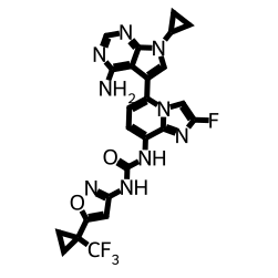 Nc1ncnc2c1c(-c1ccc(NC(=O)Nc3cc(C4(C(F)(F)F)CC4)on3)c3nc(F)cn13)cn2C1CC1